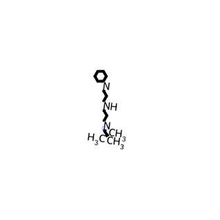 CC(C)(C)/C=N/CCCNCCCN=C1CCCCC1